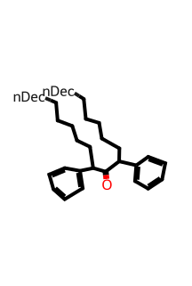 CCCCCCCCCCCCCCCC(C(=O)C(CCCCCCCCCCCCCCC)c1ccccc1)c1ccccc1